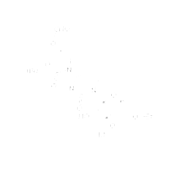 CCOC[C@H]1O[C@@H](n2ccc(N(CC(C)(C)OC=O)C(=O)OC(C)(C)C)nc2=O)C(O)[C@H]1OCC